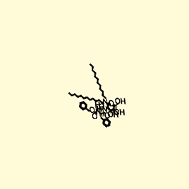 CCCCCCCCCCCCN(C(=O)CCCCCCCCCCC)[C@@H]1O[C@H](CO)[C@@H](O)[C@H](O)[C@H]1NC(=O)[C@H](Cc1ccccc1)NC(=O)OCc1ccccc1